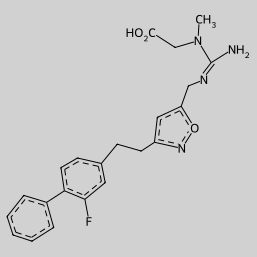 CN(CC(=O)O)C(N)=NCc1cc(CCc2ccc(-c3ccccc3)c(F)c2)no1